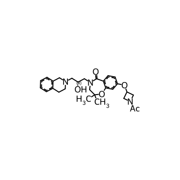 CC(=O)N1CC(Oc2ccc3c(c2)OC(C)(C)CN(C[C@H](O)CN2CCc4ccccc4C2)C3=O)C1